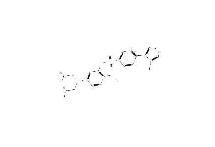 COc1ccc(N2CC(C)NC(C)C2)cc1NS(=O)(=O)c1ccc(-c2cscc2C)cc1